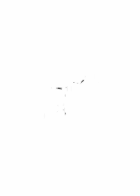 C=CO[PH](=O)O[Si](C)(C)C